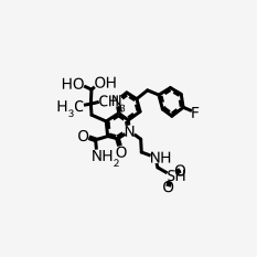 CC(C)(Cc1c(C(N)=O)c(=O)n(CCNC[SH](=O)=O)c2cc(Cc3ccc(F)cc3)cnc12)C(O)O